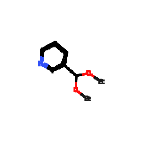 CCOC(OCC)c1[c]nccc1